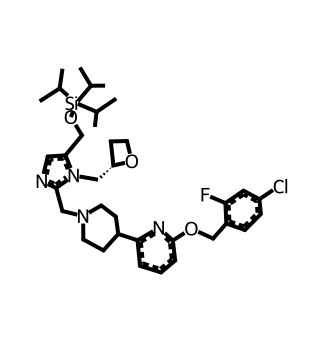 CC(C)[Si](OCc1cnc(CN2CCC(c3cccc(OCc4ccc(Cl)cc4F)n3)CC2)n1C[C@@H]1CCO1)(C(C)C)C(C)C